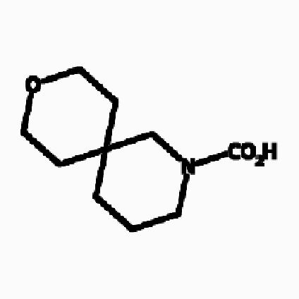 O=C(O)N1CCCC2(CCOCC2)C1